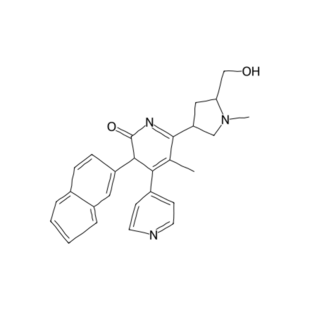 CC1=C(c2ccncc2)C(c2ccc3ccccc3c2)C(=O)N=C1C1CC(CO)N(C)C1